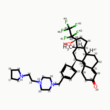 C[C@]12C[C@H](c3ccc(CN4CCN(CCN5CCCC5)CC4)cc3)C3=C4CCC(=O)C=C4CC[C@H]3[C@@H]1CC[C@@]2(O)C(F)(F)C(F)(F)F